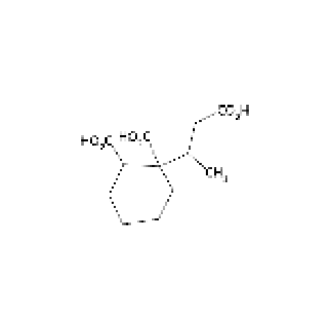 CC(CC(=O)O)C1(C(=O)O)CCCCC1C(=O)O